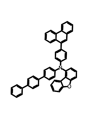 c1ccc(-c2ccc(-c3ccc(N(c4ccc(-c5cc6ccccc6c6ccccc56)cc4)c4cccc5oc6ccccc6c45)cc3)cc2)cc1